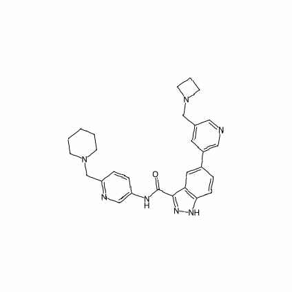 O=C(Nc1ccc(CN2CCCCC2)nc1)c1n[nH]c2ccc(-c3cncc(CN4CCC4)c3)cc12